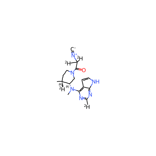 [2H]c1nc(N(C)[C@H]2CN(C(=O)C([2H])([2H])[N+]#[C-])CC[C@@]2([2H])C)c2cc[nH]c2n1